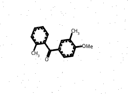 COc1ccc(C(=O)c2ccccc2C)cc1C